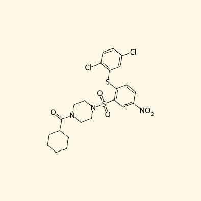 O=C(C1CCCCC1)N1CCN(S(=O)(=O)c2cc([N+](=O)[O-])ccc2Sc2cc(Cl)ccc2Cl)CC1